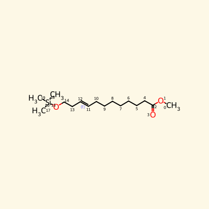 COC(=O)CCCCCCC/C=C/CCO[Si](C)(C)C